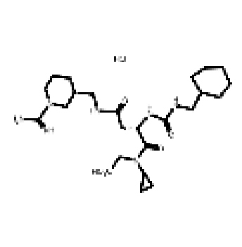 Cl.N=C(N)N1CCC[C@@H](CNC(=O)C[C@H](NC(=O)NCC2CCCCC2)C(=O)N(CC(=O)O)C2CC2)C1